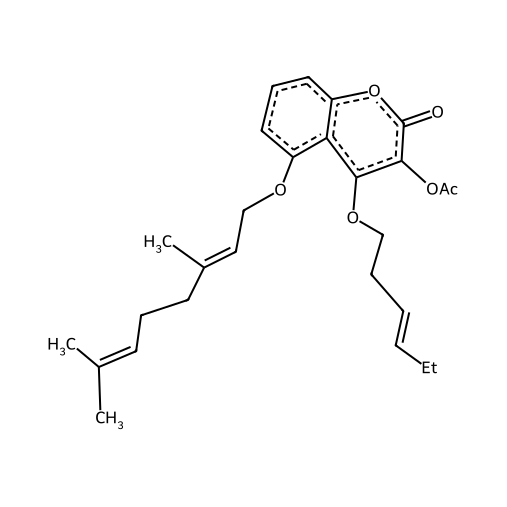 CCC=CCCOc1c(OC(C)=O)c(=O)oc2cccc(OC/C=C(\C)CCC=C(C)C)c12